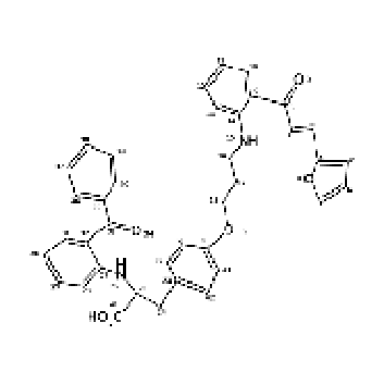 O=C(C=Cc1ccco1)c1ccccc1NCCCOc1ccc(CC(Nc2ccccc2C(=O)c2ccccc2)C(=O)O)cc1